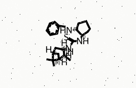 C[C@H]1[C@H]2C[C@H](C[C@H]1NC(=S)N[C@@H]1CCCC[C@H]1NCc1ccccc1)C2(C)C